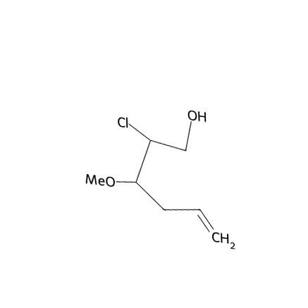 C=CCC(OC)C(Cl)CO